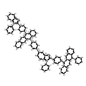 c1ccc(-c2c3ccccc3cc3c(-c4ccc(-c5nc6cc(-c7ccc(-c8c9ccccc9c(-c9ccc(-c%10nc%11ccccc%11n%10-c%10ccccc%10)cc9)c9cc%10ccccc%10cc89)cc7)ccc6n5-c5ccccc5)cc4)c4ccccc4cc23)cc1